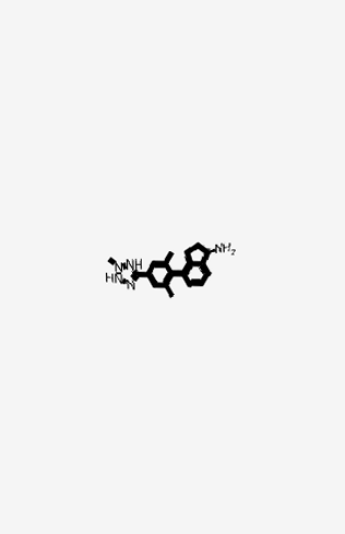 Cc1cc(C2=NNN(C)N2)cc(C)c1-c1cccc2c1CC[C@H]2N